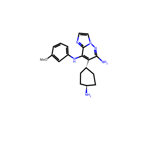 COc1cccc(Nc2c3nccn3nc(N)c2[C@H]2CC[C@H](N)CC2)c1